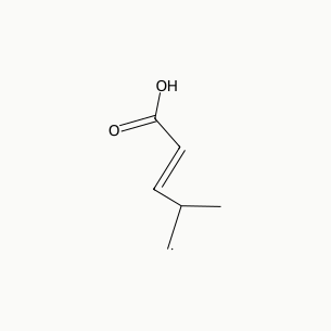 [CH2]C(C)C=CC(=O)O